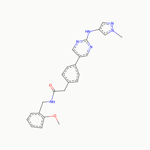 COc1ccccc1CNC(=O)Cc1ccc(-c2cnc(Nc3cnn(C)c3)nc2)cc1